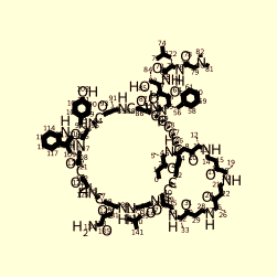 CCC(=O)[C@H](C)NCCC(=O)[C@H](C)NCCC(=O)[C@H](C)NCCC(=O)[C@H](C)NCCC(=O)[C@H](C)NCC(=O)[C@]1(C)CCC/C=C/CCCCCC[C@@](C)(NN[C@@H](Cc2ccccc2)C(=O)C(=O)[C@@H](NC(=O)[C@H](CC(C)C)NC(=O)CN(C)C)[C@@H](C)O)C(=O)CN[C@@H](C)C(=O)CN[C@@H](Cc2ccc(O)cc2)C(=O)N[C@@H](Cc2c[nH]c3ccccc23)C(=O)CC(=O)[C@H](C)NCC(=O)[C@H](CCC(N)=O)NN[C@@H](CC(C)C)C(=O)N1